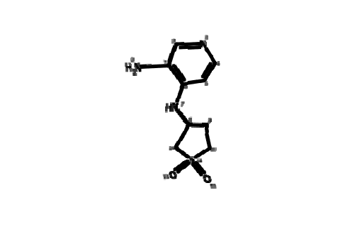 Nc1cnccc1NC1CCS(=O)(=O)C1